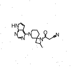 CC1CC2(CCCN(c3ncnc4[nH]ccc34)C2)N1C(=O)CC#N